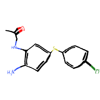 CC(=O)Nc1cc(Sc2ccc(Cl)cc2)ccc1N